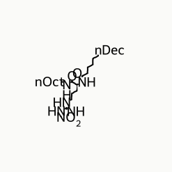 CCCCCCCCCCCCCCCC(=O)N[C@@H](CCCNC(=N)N[N+](=O)[O-])C(=O)NCCCCCCCC